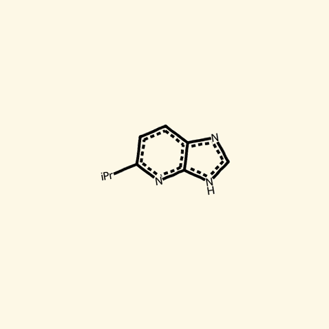 CC(C)c1ccc2nc[nH]c2n1